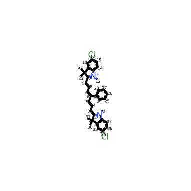 CN1C(=CC=CC(=CC=CC2=[N+](C)c3ccc(Cl)cc3C2(C)C)c2ccccc2)C(C)(C)c2cc(Cl)ccc21